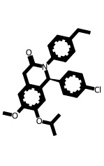 CCc1ccc(N2C(=O)Cc3cc(OC)c(OC(C)C)cc3[C@@H]2c2ccc(Cl)cc2)cc1